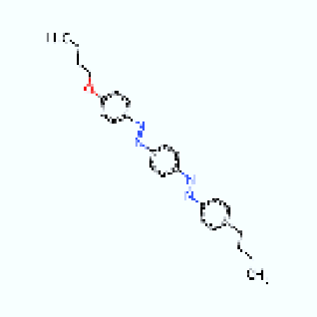 CCCCOc1ccc(N=Nc2ccc(N=Nc3ccc(CCCC)cc3)cc2)cc1